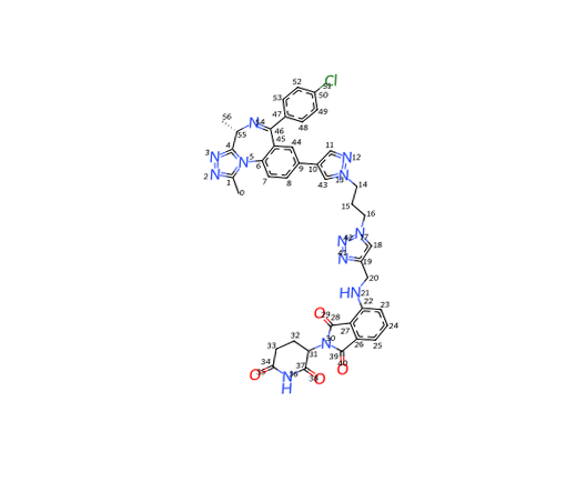 Cc1nnc2n1-c1ccc(-c3cnn(CCCn4cc(CNc5cccc6c5C(=O)N(C5CCC(=O)NC5=O)C6=O)nn4)c3)cc1C(c1ccc(Cl)cc1)=N[C@H]2C